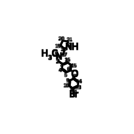 CN(Cc1ccc(Oc2ccc(Br)cc2)cc1)CC1CCCN1